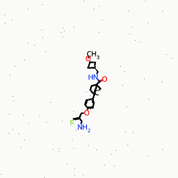 CO[C@H]1C[C@@H](CNC(=O)C23CCC(c4ccc(OC/C(=C/F)CN)cc4)(CC2)CC3)C1